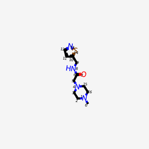 CN1CCN(CC(=O)NCc2ccns2)CC1